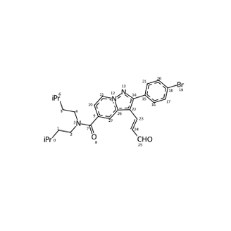 CC(C)CCN(CCC(C)C)C(=O)c1ccn2nc(-c3ccc(Br)cc3)c(C=CC=O)c2c1